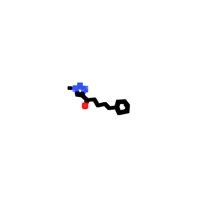 Cn1cc(C(=O)CCCCc2ccccc2)nn1